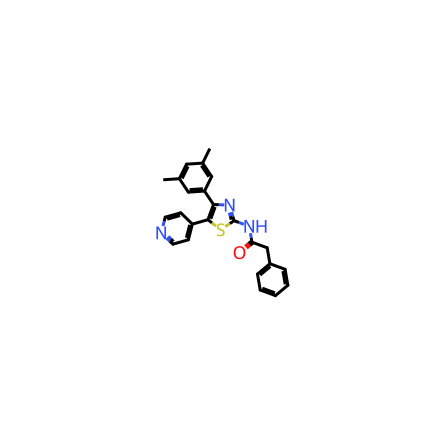 Cc1cc(C)cc(-c2nc(NC(=O)Cc3ccccc3)sc2-c2ccncc2)c1